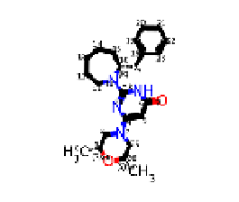 C[C@@H]1CN(c2cc(=O)[nH]c(N3CCCCC[C@@H]3Cc3ccccc3)n2)C[C@H](C)O1